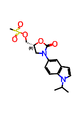 CC(C)n1ccc2cc(N3C[C@H](COS(C)(=O)=O)OC3=O)ccc21